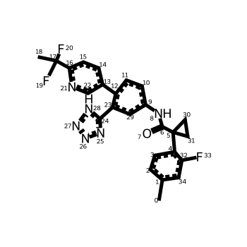 Cc1ccc(C2(C(=O)Nc3ccc(-c4ccc(C(C)(F)F)nc4)c(-c4nnn[nH]4)c3)CC2)c(F)c1